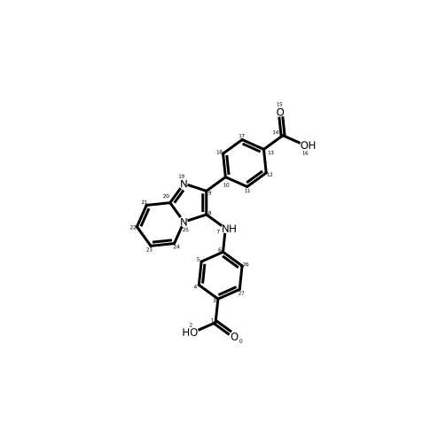 O=C(O)c1ccc(Nc2c(-c3ccc(C(=O)O)cc3)nc3ccccn23)cc1